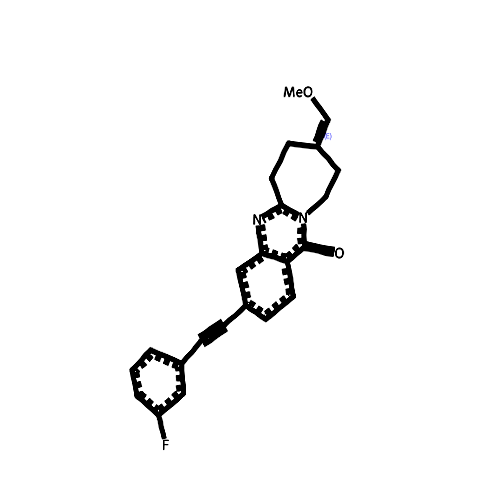 CO/C=C1\CCc2nc3cc(C#Cc4cccc(F)c4)ccc3c(=O)n2CC1